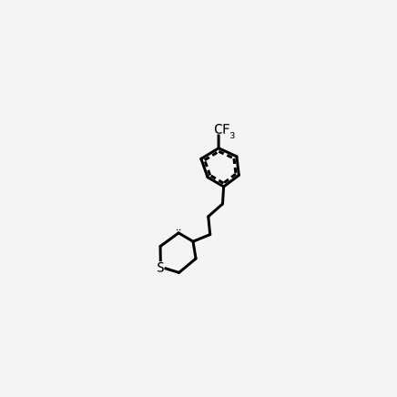 FC(F)(F)c1ccc(CCCC2[C]CSCC2)cc1